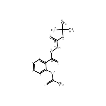 CC(=O)Oc1ccccc1C(=O)ONC(=O)OC(C)(C)C